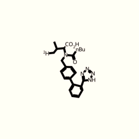 [2H]CC(C)[C@@H](C(=O)O)N(Cc1ccc(-c2ccccc2-c2nnn[nH]2)cc1)C(=O)CCCC